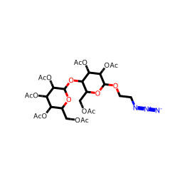 CC(=O)OCC1OC(OC2C(COC(C)=O)OC(OCCN=[N+]=[N-])C(OC(C)=O)C2OC(C)=O)C(OC(C)=O)C(OC(C)=O)C1OC(C)=O